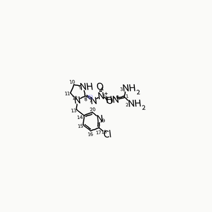 N=C(N)N.O=[N+]([O-])/N=C1\NCCN1Cc1ccc(Cl)nc1